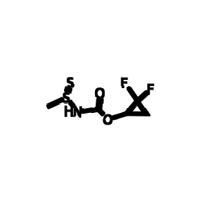 CS(=S)NC(=O)OC1CC1(F)F